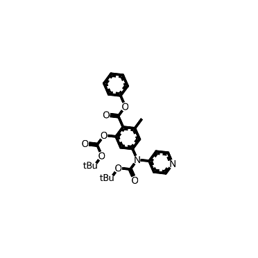 Cc1cc(N(C(=O)OC(C)(C)C)c2ccncc2)cc(OC(=O)OC(C)(C)C)c1C(=O)Oc1ccccc1